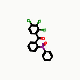 O=C(c1ccccc1[PH](=O)c1ccccc1)c1ccc(Cl)c(Cl)c1Cl